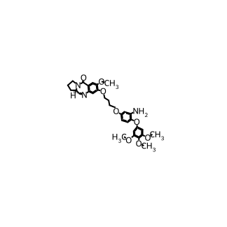 COc1cc2c(cc1OCCCCOc1ccc(Oc3cc(OC)c(OC)c(OC)c3)c(N)c1)N=C[C@@H]1CCCN1C2=O